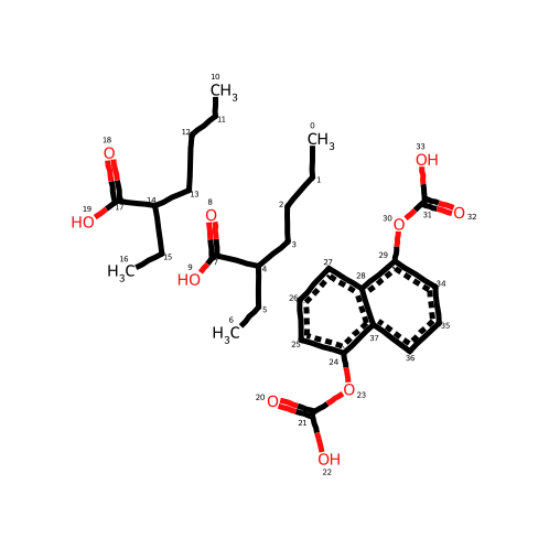 CCCCC(CC)C(=O)O.CCCCC(CC)C(=O)O.O=C(O)Oc1cccc2c(OC(=O)O)cccc12